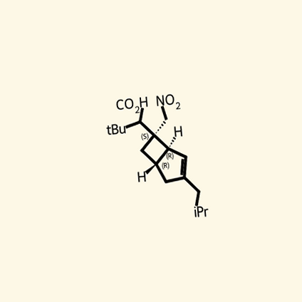 CC(C)CC1=C[C@H]2[C@H](C1)C[C@@]2(C[N+](=O)[O-])C(C(=O)O)C(C)(C)C